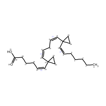 CCCCC/C=C\C1(/C=C\C/C=C\C2(/C=C\CCCC(=O)O)CC2)CC1